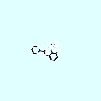 CC(=Nc1cccc(C)c1O[Si](C)(C)C)c1ncccn1